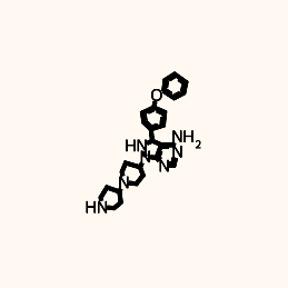 Nc1ncnc2c1C(c1ccc(Oc3ccccc3)cc1)NN2C1CCN(C2CCNCC2)CC1